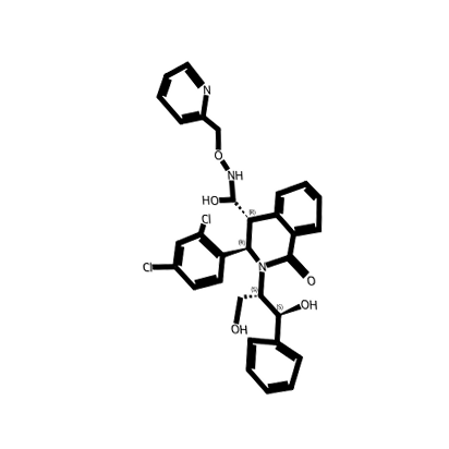 O=C1c2ccccc2[C@@H](C(O)NOCc2ccccn2)[C@H](c2ccc(Cl)cc2Cl)N1[C@@H](CO)[C@@H](O)c1ccccc1